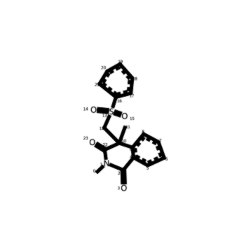 CN1C(=O)c2ccccc2C(C)(CS(=O)(=O)c2ccccc2)C1=O